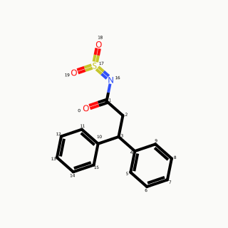 O=C(CC(c1ccccc1)c1ccccc1)N=S(=O)=O